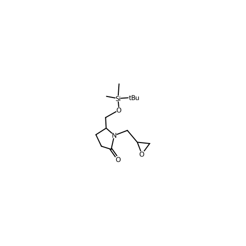 CC(C)(C)[Si](C)(C)OCC1CCC(=O)N1CC1CO1